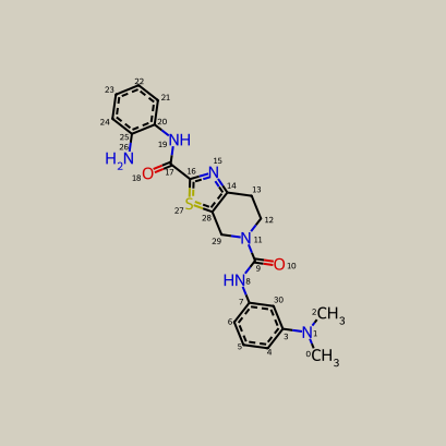 CN(C)c1cccc(NC(=O)N2CCc3nc(C(=O)Nc4ccccc4N)sc3C2)c1